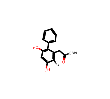 CCc1c(O)cc(O)c(-c2ccccc2)c1CC(=O)OC